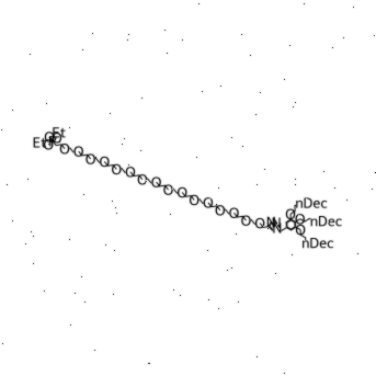 CCCCCCCCCCCCOc1cc(Cn2cc(COCCOCCOCCOCCOCCOCCOCCOCCOCCOCCOCCOCCOCCOCCOCCOCCP(=O)(OCC)OCC)nn2)cc(OCCCCCCCCCCCC)c1OCCCCCCCCCCCC